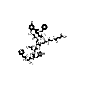 C[C@H](NC(=O)Cc1ccncc1)C(=O)N[C@H](Cc1c[nH]cn1)C(=O)N[C@@H](CC(N)=O)C(=O)N[C@@H](CCN(C(=O)CO)[C@@H](c1cc(-c2cc(F)ccc2F)cn1Cc1ccccc1)C(C)(C)C)C(=O)NCCNC(=O)CNC(=O)CCC(=O)O